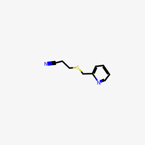 N#CCCSCc1ccccn1